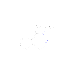 COC1=c2ccccc2=CC=NN1OC